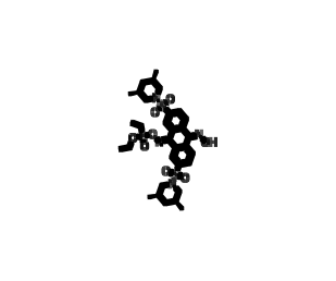 CCOP(=O)(CC)ON=C1c2cc(S(=O)(=O)N3C[C@H](C)C[C@H](C)C3)ccc2C(=NO)c2ccc(S(=O)(=O)N3C[C@H](C)C[C@H](C)C3)cc21